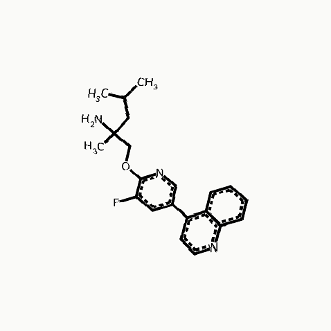 CC(C)CC(C)(N)COc1ncc(-c2ccnc3ccccc23)cc1F